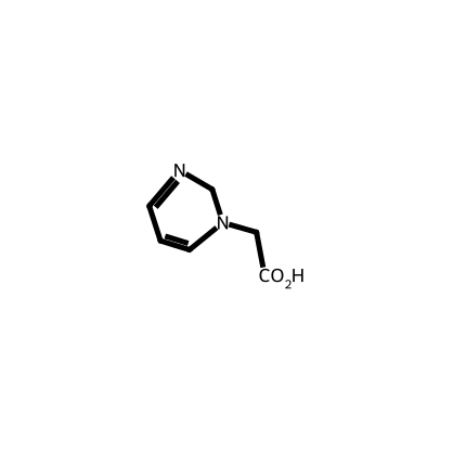 O=C(O)CN1C=CC=NC1